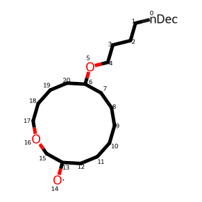 [CH2]CCCCCCCCCCCCCOC1CCCCCCC([O])COCCCC1